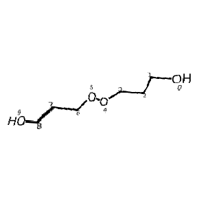 OCCCOOCCCO